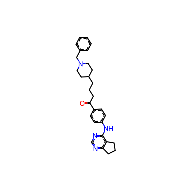 O=C(CCCC1CCN(Cc2ccccc2)CC1)c1ccc(Nc2ncnc3c2CCC3)cc1